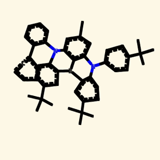 Cc1cc2c3c(c1)N(c1ccccc1-c1ccccc1)c1ccc(C(C)(C)C)cc1B3c1cc(C(C)(C)C)ccc1N2c1ccc(C(C)(C)C)cc1